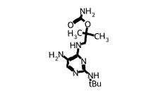 CC(C)(C)Nc1ncc(N)c(NCC(C)(C)OC(N)=O)n1